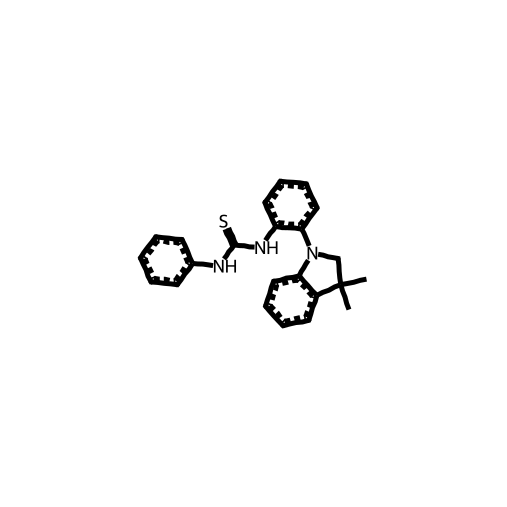 CC1(C)CN(c2ccccc2NC(=S)Nc2ccccc2)c2ccccc21